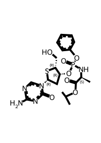 CC(C)OC(=O)[C@H](C)NP(=O)(Oc1ccccc1)O[C@@H]1C[C@H](n2cnc(N)nc2=O)S[C@@H]1CO